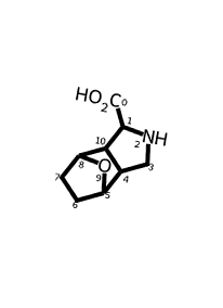 O=C(O)C1NCC2C3CCC(O3)C12